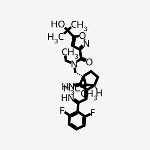 CCN(C[C@@]12CC[C@@H](/C(=C/C(=N)c3c(F)cccc3F)C1=N)C2(C)C)C(=O)c1cc(C(C)(C)O)on1